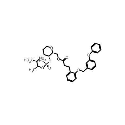 C[C@H](OP(=O)(O)O[C@@H]1CCCO[C@H]1COC(=O)CCc1ccccc1OCc1cccc(Oc2ccccc2)c1)[C@H](N)C(=O)O